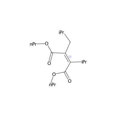 CCCOC(=O)/C(CC(C)C)=C(\C(=O)OCCC)C(C)C